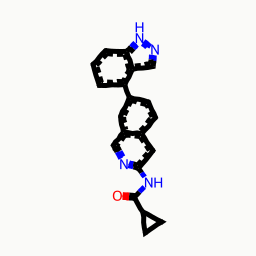 O=C(Nc1cc2ccc(-c3cccc4[nH]ncc34)cc2cn1)C1CC1